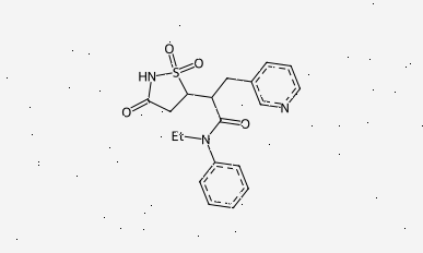 CCN(C(=O)C(Cc1cccnc1)C1CC(=O)NS1(=O)=O)c1ccccc1